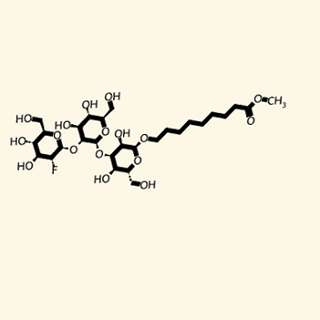 COC(=O)CCCCCCCCO[C@H]1O[C@H](CO)[C@@H](O)[C@H](O[C@H]2O[C@H](CO)[C@@H](O)[C@H](O)[C@H]2O[C@H]2O[C@H](CO)[C@@H](O)[C@H](O)[C@H]2F)[C@H]1O